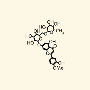 COc1ccc(-c2cc(=O)c3c(O)cc(O[C@@H]4O[C@H](CO[C@@H]5O[C@@H](C)[C@H](O)[C@@H](O)[C@H]5O)C(O)[C@H](O)[C@H]4O)cc3o2)cc1O